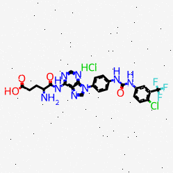 Cl.NC(CCC(=O)O)C(=O)Nc1ncnc2c1ncn2-c1ccc(NC(=O)Nc2ccc(Cl)c(C(F)(F)F)c2)cc1